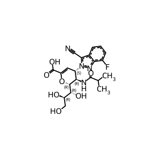 CC(C)C(=O)N[C@H]1[C@H]([C@H](O)[C@H](O)CO)OC(C(=O)O)=C[C@@H]1n1nc2c(F)cccc2c1C#N